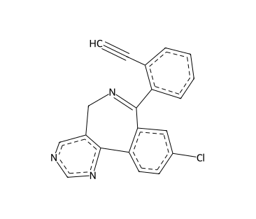 C#Cc1ccccc1C1=NCc2cncnc2-c2ccc(Cl)cc21